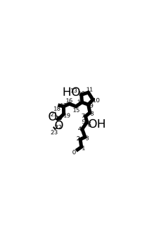 CCCCCC(O)CCC1CCC(O)C1CCC(C)CC(=O)OC